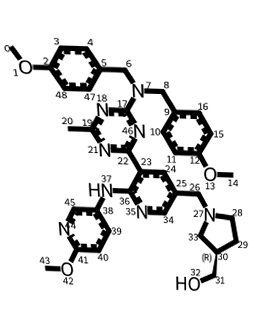 COc1ccc(CN(Cc2ccc(OC)cc2)c2nc(C)nc(-c3cc(CN4CC[C@@H](CO)C4)cnc3Nc3ccc(OC)nc3)n2)cc1